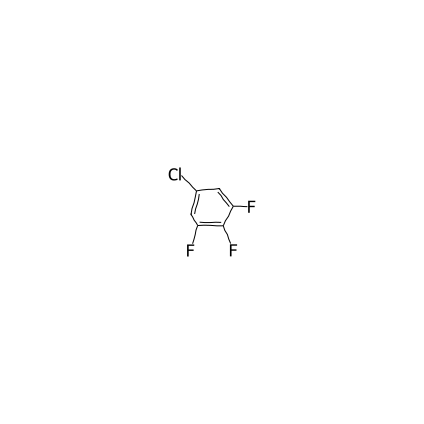 Fc1cc(Cl)cc(F)c1F